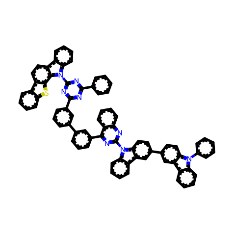 c1ccc(-c2nc(-c3cccc(-c4cccc(-c5nc(-n6c7ccccc7c7cc(-c8ccc9c(c8)c8ccccc8n9-c8ccccc8)ccc76)nc6ccccc56)c4)c3)nc(-n3c4ccccc4c4ccc5c6ccccc6sc5c43)n2)cc1